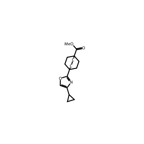 COC(=O)C12CCC(c3nc(C4CC4)co3)(CC1)CC2